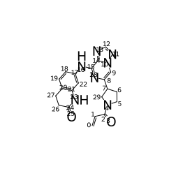 C=CC(=O)N1CCC(c2cn3ncnc3c(Nc3ccc4c(c3)NC(=O)CC4)n2)C1